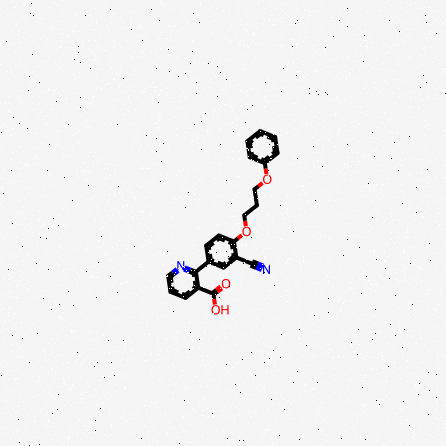 N#Cc1cc(-c2ncccc2C(=O)O)ccc1OCCCOc1ccccc1